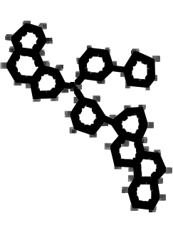 c1ccc(-c2cccc(N(c3cccc(-c4cccc5c4ccc4c6ccccc6ccc54)c3)c3ccc4ccc5ccccc5c4c3)c2)cc1